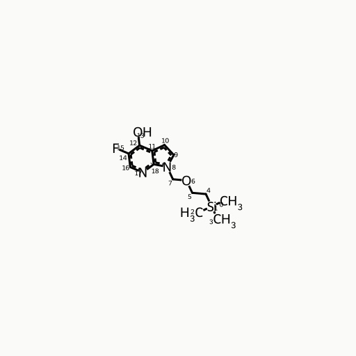 C[Si](C)(C)CCOCn1ccc2c(O)c(F)cnc21